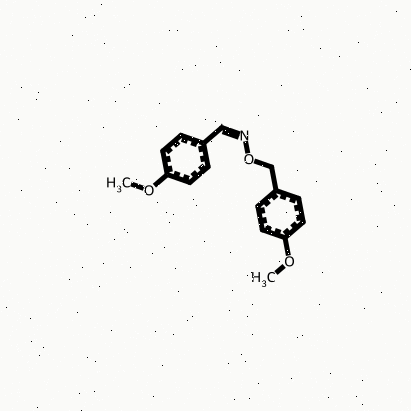 COc1ccc(/[C]=N\OCc2ccc(OC)cc2)cc1